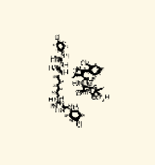 Cc1onc(-c2ccccc2Cl)c1C(=O)N[C@@H]1C(=O)N2[C@@H]1SC(C)(C)[C@@H]2C(=O)O.N=C(NCCCCCCNC(=N)NC(=N)Nc1ccc(Cl)cc1)NC(=N)Nc1ccc(Cl)cc1